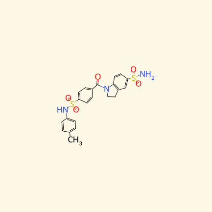 Cc1ccc(NS(=O)(=O)c2ccc(C(=O)N3CCc4cc(S(N)(=O)=O)ccc43)cc2)cc1